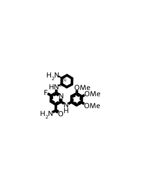 COc1cc(Nc2nc(N[C@@H]3CCCC[C@@H]3N)c(F)cc2C(N)=O)cc(OC)c1OC